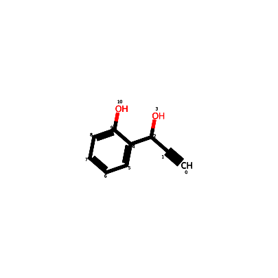 C#CC(O)c1ccccc1O